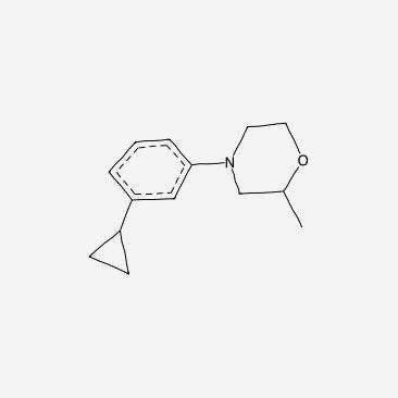 CC1CN(c2cccc(C3CC3)c2)CCO1